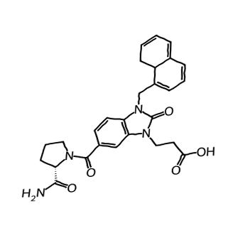 NC(=O)[C@@H]1CCCN1C(=O)c1ccc2c(c1)n(CCC(=O)O)c(=O)n2CC1=CC=CC2=CC=CCC21